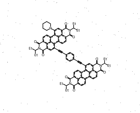 CCC(CC)N1C(=O)c2ccc3c4ccc5c6c(cc(C#Cc7ccc(C#Cc8cc9c%10c(ccc%11c%12c(N%13CCCCC%13)cc%13c%14c(ccc(c8c%10%11)c%14%12)C(=O)N(C(CC)CC)C%13=O)C(=O)N(C(CC)CC)C9=O)cc7)c(c7ccc(c2c37)C1=O)c64)C(=O)N(C(CC)CC)C5=O